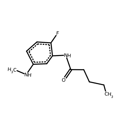 CCCCC(=O)Nc1cc(NC)ccc1F